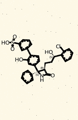 O=C1N[C@@](c2ccccc2)(c2ccc(-c3cccc(S(=O)(=O)O)c3)c(O)c2)[C@H]1CC[C@H](O)c1ccccc1Cl